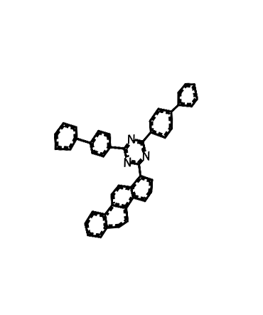 c1ccc(-c2ccc(-c3nc(-c4ccc(-c5ccccc5)cc4)nc(-c4cccc5c4ccc4c6ccccc6ccc54)n3)cc2)cc1